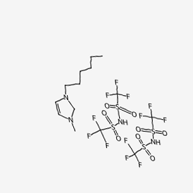 CCCCCCN1C=CN(C)C1.O=S(=O)(NS(=O)(=O)C(F)(F)F)C(F)(F)F.O=S(=O)(NS(=O)(=O)C(F)(F)F)C(F)(F)F